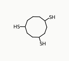 SC1CCCC(S)CCC(S)CC1